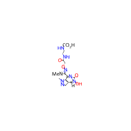 CN/C(=N\OCC(=O)NCCNC(=O)O)[C@@H]1c2c(cnn2C)[C@@H]2CN1C(=O)N2O